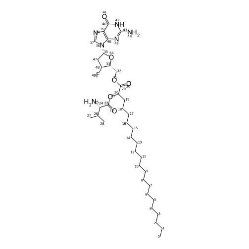 CCCCCCCCCCCCCCCCCCCCC(OC(=O)[C@@H](N)C(C)C)C(=O)OC[C@H]1O[C@@H](n2cnc3c(=O)[nH]c(N)nc32)CC1F